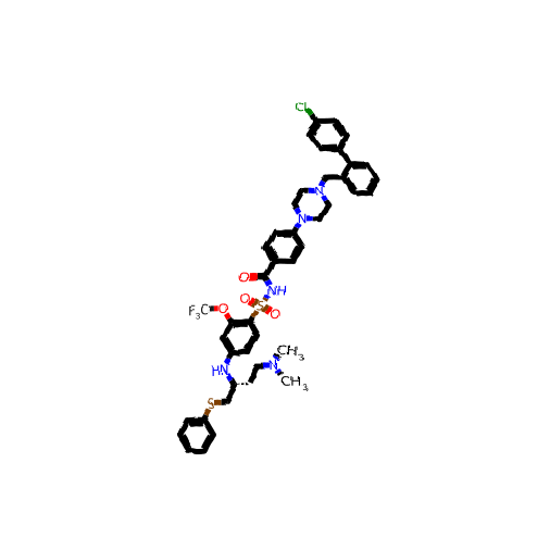 CN(C)CC[C@H](CSc1ccccc1)Nc1ccc(S(=O)(=O)NC(=O)c2ccc(N3CCN(Cc4ccccc4-c4ccc(Cl)cc4)CC3)cc2)c(OC(F)(F)F)c1